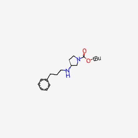 CC(C)(C)OC(=O)N1CC[C@H](NCCCc2ccccc2)C1